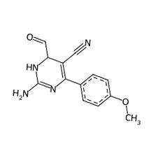 COc1ccc(C2=C(C#N)C(C=O)NC(N)=N2)cc1